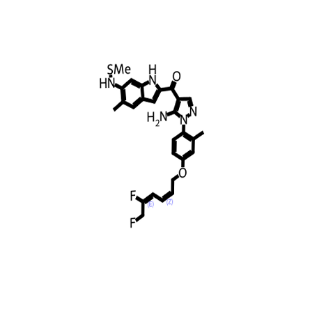 CSNc1cc2[nH]c(C(=O)c3cnn(-c4ccc(OC/C=C\C=C(\F)CF)cc4C)c3N)cc2cc1C